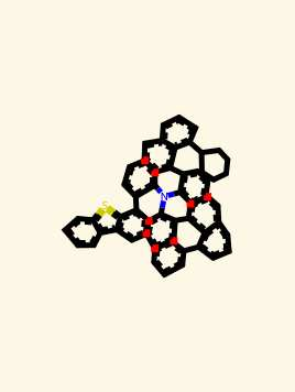 c1ccc(-c2cccc3cccc(-c4ccccc4N(c4ccccc4-c4cccc5c4sc4ccccc45)c4ccccc4-c4cccc5cccc(C6CCCCC6)c45)c23)cc1